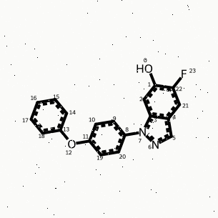 Oc1cc2c(cnn2-c2ccc(Oc3ccccc3)cc2)cc1F